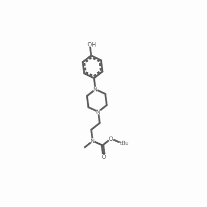 CN(CCN1CCN(c2ccc(O)cc2)CC1)C(=O)OC(C)(C)C